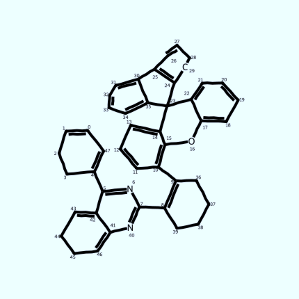 C1=CCCC(c2nc(C3=C(c4cccc5c4Oc4ccccc4C54C5=C(C=CCC5)c5ccccc54)CCCC3)nc3c2=CCCC=3)=C1